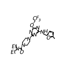 CCN(CC)C(=O)N1CCN(c2nc(NCc3ccc(C)o3)nc(OCC(F)(F)F)n2)CC1